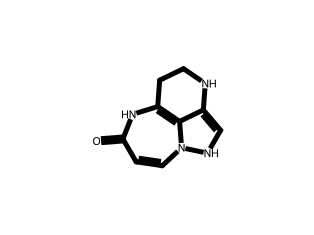 O=C1C=CN2NC=C3NCCC(=C32)N1